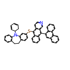 C1=CCC(N2c3ccccc3CCc3ccc(Sc4c5ccccc5c(-c5cc6ccccc6c6ccccc56)c5cnccc45)cc32)C=C1